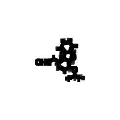 O=CCc1ccc(OC(F)F)c2oc3ccccc3c12